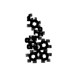 CSc1ccc(OC(F)(F)CNC(CSC(c2ccccc2)(c2ccccc2)c2ccccc2)C(=O)O)cc1